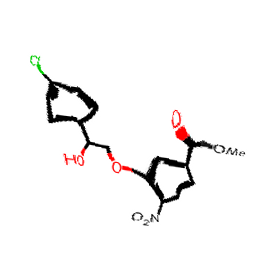 COC(=O)c1ccc([N+](=O)[O-])c(OCC(O)c2ccc(Cl)cc2)c1